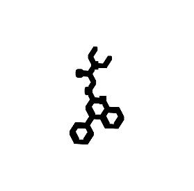 CCN(CC)C(=O)COc1cc(-c2ccccc2)c2ccccc2n1